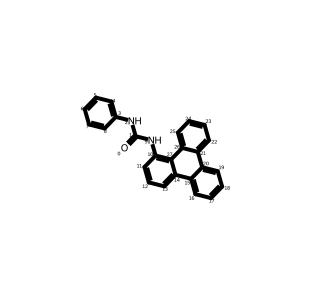 O=C(Nc1ccccc1)Nc1cccc2c3ccccc3c3ccccc3c12